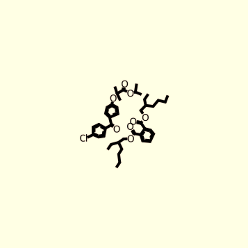 CC(C)OC(=O)C(C)(C)Oc1ccc(C(=O)c2ccc(Cl)cc2)cc1.CCCCC(CC)COC(=O)c1ccccc1C(=O)OCC(CC)CCCC